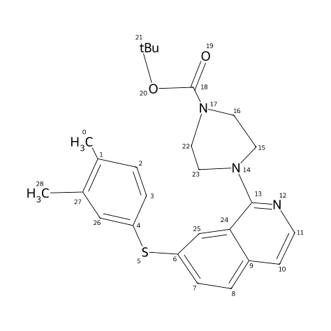 Cc1ccc(Sc2ccc3ccnc(N4CCN(C(=O)OC(C)(C)C)CC4)c3c2)cc1C